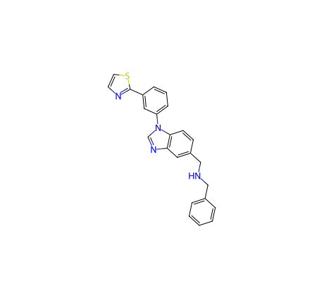 c1ccc(CNCc2ccc3c(c2)ncn3-c2cccc(-c3nccs3)c2)cc1